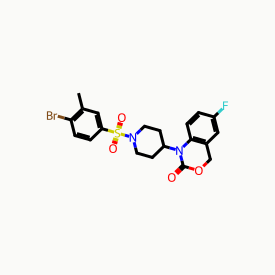 Cc1cc(S(=O)(=O)N2CCC(N3C(=O)OCc4cc(F)ccc43)CC2)ccc1Br